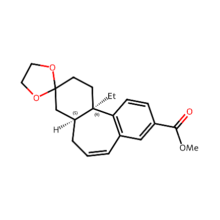 CC[C@@]12CCC3(C[C@@H]1CC=Cc1cc(C(=O)OC)ccc12)OCCO3